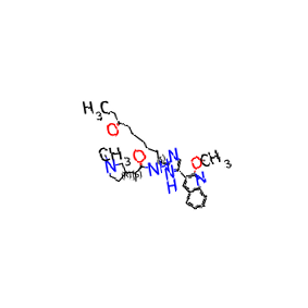 CCC(=O)CCCCC[C@H](NC(=O)[C@H]1C[C@@]12CCN(C)C2)c1ncc(-c2cc3ccccc3nc2OC)[nH]1